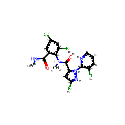 CCCNC(=O)c1cc(Cl)cc(Br)c1N(C)C(=O)c1cc(Br)nn1-c1ncccc1Cl